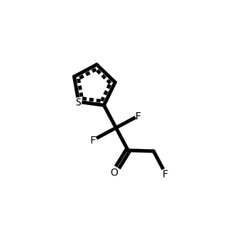 O=C(CF)C(F)(F)c1cccs1